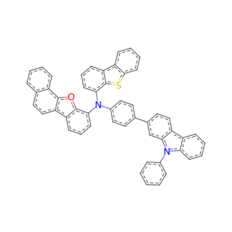 c1ccc(-n2c3ccccc3c3ccc(-c4ccc(N(c5cccc6c5oc5c7ccccc7ccc65)c5cccc6c5sc5ccccc56)cc4)cc32)cc1